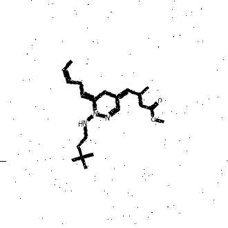 C/C=C\C/C=C1\CC(=CC(C)CC(=O)OC)C=NN1NCCC(C)(C)C